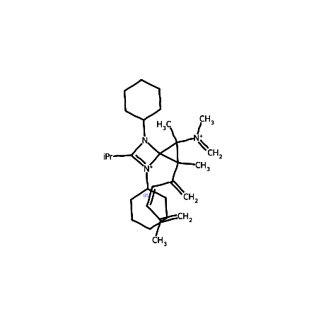 C=C(C)/C=C\C(=C)C1(C)C(C)([N+](=C)C)C12N(C1CCCCC1)C(C(C)C)=[N+]2C1CCCCC1